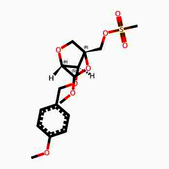 COc1ccc(CO[C@H]2[C@H]3OC[C@]2(COS(C)(=O)=O)OC3OC)cc1